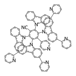 N#Cc1c(-n2c3ccccc3c3ccccc32)c(-n2c3ccc(-c4ccccn4)cc3c3cc(-c4ccccn4)ccc32)c(-c2ccncc2)c(-n2c3ccc(-c4ccccn4)cc3c3cc(-c4ccccn4)ccc32)c1-n1c2ccccc2c2ccccc21